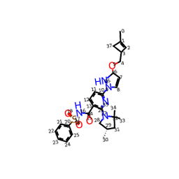 CC1=CC(COC2C=CN(c3ccc(C(=O)NS(=O)(=O)c4ccccc4)c(N4C[C@@H](C)CC4(C)C)n3)N2)C1